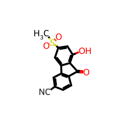 CS(=O)(=O)c1cc(O)c2c(c1)-c1cc(C#N)ccc1C2=O